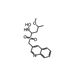 COC(C)CC(NO)S(=O)(=O)Cc1cnc2ccccc2c1